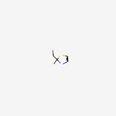 CC1(CBr)NC=CS1